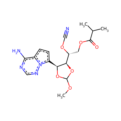 COC1O[C@H]([C@@H](COC(=O)C(C)C)OC#N)[C@H](c2ccc3c(N)ncnn23)O1